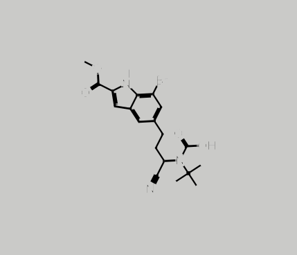 COC(=O)c1cc2cc(CCC(C#N)N(C(=O)O)C(C)(C)C)cc(Br)c2[nH]1